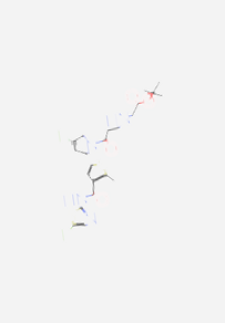 Cc1sc([C@@H]2C[C@@H](F)CN2C(=O)CCNCC(=O)OC(C)(C)C)cc1C(=O)Nc1ncc(F)s1